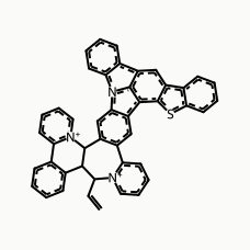 C=CC1C2c3ccccc3-c3cccc[n+]3C2c2cc3c(cc2-c2cccc[n+]21)c1c2sc4ccccc4c2cc2c4ccccc4n3c21